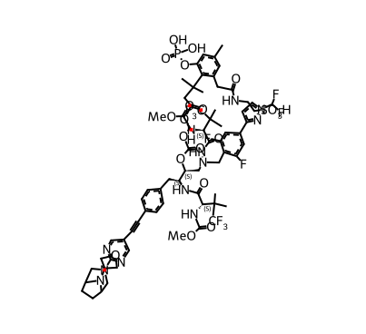 COC(=O)N[C@H](C(=O)N[C@@H](Cc1ccc(C#Cc2cnc(N3CC4CCC(C3)N4C3COC3)nc2)cc1)[C@H](CN(Cc1c(F)cc(-c2ccn(C(F)F)n2)cc1F)NC(=O)[C@@H](NC(=O)OC)C(C)(C)C(F)(F)F)OC(=O)OCOC(=O)CC(C)(C)c1c(CC(=O)NCCS(=O)(=O)O)cc(C)cc1OP(=O)(O)O)C(C)(C)C(F)(F)F